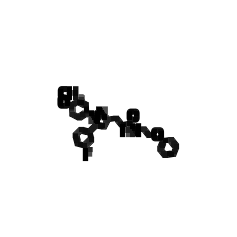 COc1ccc(-n2nc(CCC(=O)NCCOc3ccccc3)cc2-c2cccc(F)c2)cc1